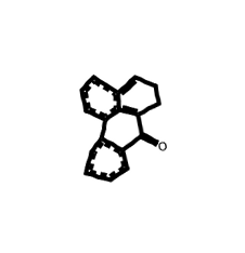 O=C1C2=c3c(cccc3=CCC2)-c2ccccc21